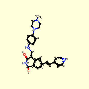 CN1CCN(c2ccc(NC=C3C(=O)NC(=O)c4ccc(C=Cc5ccncc5)cc43)cc2)CC1